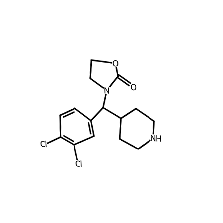 O=C1OCCN1C(c1ccc(Cl)c(Cl)c1)C1CCNCC1